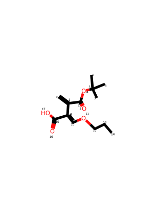 C=C(C(=O)OC(C)(C)C)/C(=C\OCCC)C(=O)O